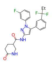 CCC(F)(F)c1cccc(-c2cc(NC(=O)C3CCC(=O)NC3)nn2-c2cccc(F)c2)c1